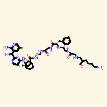 N=C(c1ncc(F)c(N[C@H]2C3CCC(CC3)[C@@H]2C(=O)NOCNC(=O)CNC(=O)[C@H](Cc2ccccc2)NC(=O)CNC(=O)CNCC(C=O)CCCCN)n1)c1cc(F)cnc1N